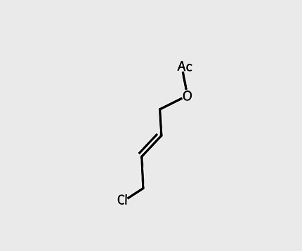 CC(=O)OC/C=C/CCl